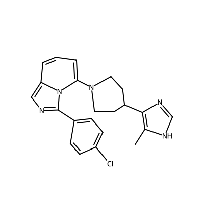 Cc1[nH]cnc1C1CCN(c2cccc3cnc(-c4ccc(Cl)cc4)n23)CC1